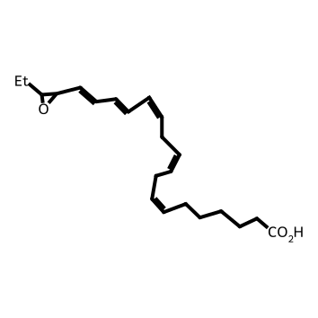 CCC1OC1/C=C/C=C/C=C\C/C=C\C/C=C\CCCCCC(=O)O